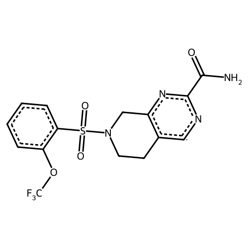 NC(=O)c1n[c]c2c(n1)CN(S(=O)(=O)c1ccccc1OC(F)(F)F)CC2